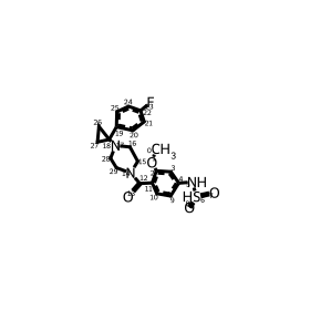 COc1cc(N[SH](=O)=O)ccc1C(=O)N1CCN(C2(c3ccc(F)cc3)CC2)CC1